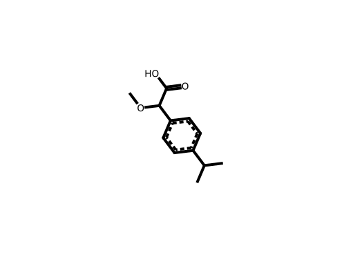 COC(C(=O)O)c1ccc(C(C)C)cc1